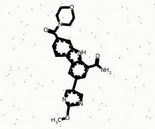 COc1ncc(-c2cc(C(N)=O)c3[nH]c4cc(C(=O)N5CCOCC5)ccc4c3c2)cn1